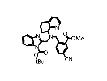 COC(=O)c1cc(C#N)ccc1CN(Cc1nc2ccccc2n1C(=O)OC(C)(C)C)C1CCCc2cccnc21